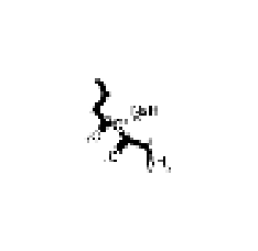 CCCC(=O)OC(=O)CN.[NaH]